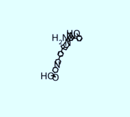 Nc1nnc(-c2ccccc2O)cc1N1CC2CC3(c4ccc(C5CCN([C@H]6CC[C@@H](C(=O)O)CC6)CC5)cc4)CC(C1)C23